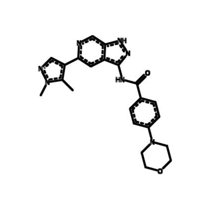 Cc1c(-c2cc3c(NC(=O)c4ccc(N5CCOCC5)cc4)n[nH]c3cn2)cnn1C